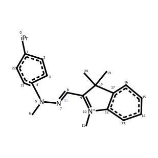 CC(C)c1ccc(N(C)/N=C/C2=[N+](C)c3ccccc3C2(C)C)cc1